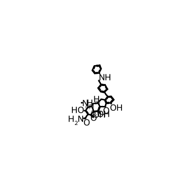 CN(C)[C@H]1C(O)=C(C(N)=O)C(=O)[C@]2(O)C(O)=C3C(=O)c4c(O)ccc(-c5ccc(CNc6ccccc6)cc5)c4C[C@@H]3C[C@H]12